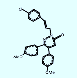 COc1ccc(-c2cc(=O)n(CC=Cc3ccc(Cl)cc3)nc2-c2ccc(OC)cc2)cc1